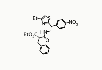 CCOC(=O)C(Cc1ccccc1)C(=O)NC[C@@H](c1ccc([N+](=O)[O-])cc1)c1nc(CC)cs1